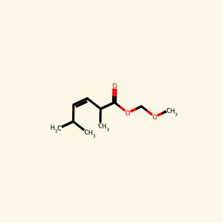 COCOC(=O)C(C)/C=C\C(C)C